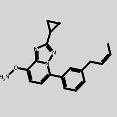 C/C=C\Cc1cccc(-c2ccc(ON)c3nc(C4CC4)nn23)c1